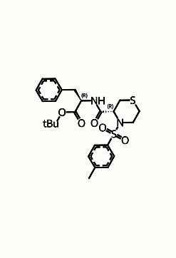 Cc1ccc(S(=O)(=O)N2CCSC[C@H]2C(=O)N[C@H](Cc2ccccc2)C(=O)OC(C)(C)C)cc1